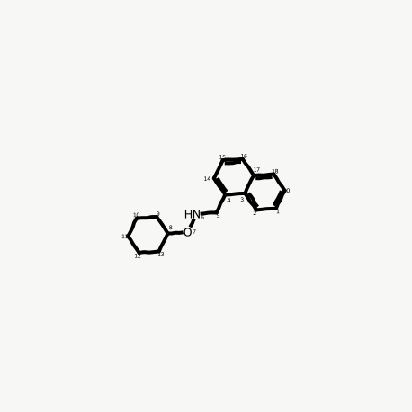 c1ccc2c(CNOC3CCCCC3)cccc2c1